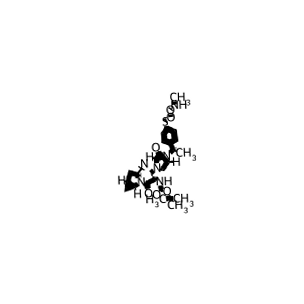 CNOOSc1ccc([C@H](C)N2C(=O)[C@@H]3C[C@H]2CN3C[C@H](NC(=O)OC(C)(C)C)C(=O)N2[C@H](C#N)C[C@@H]3C[C@@H]32)cc1